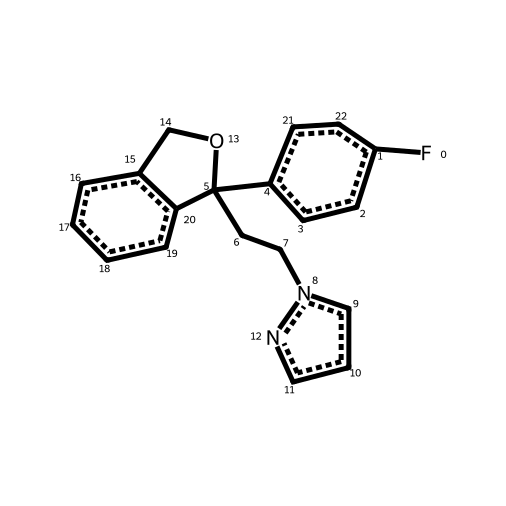 Fc1ccc(C2(CCn3cccn3)OCc3ccccc32)cc1